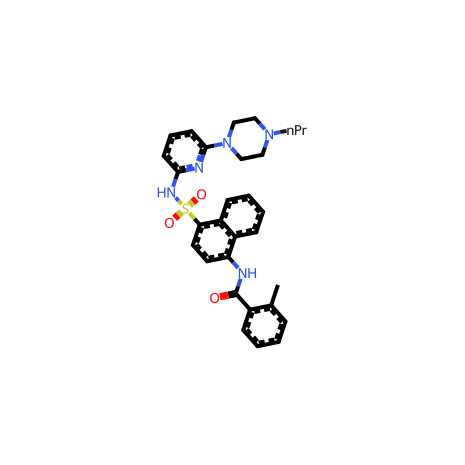 CCCN1CCN(c2cccc(NS(=O)(=O)c3ccc(NC(=O)c4ccccc4C)c4ccccc34)n2)CC1